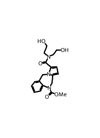 COC(=O)N1Cc2ccc(C(=O)N(CCO)CCO)n2Cc2ccccc21